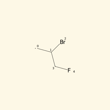 [CH2]C(Br)CF